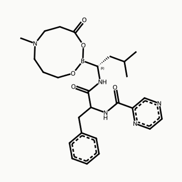 CC(C)C[C@H](NC(=O)C(Cc1ccccc1)NC(=O)c1cnccn1)B1OCCCN(C)CCC(=O)O1